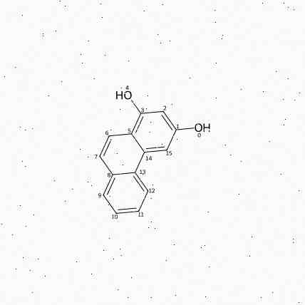 Oc1cc(O)c2ccc3ccccc3c2c1